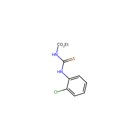 CCOC(=O)NC(=S)Nc1ccccc1Cl